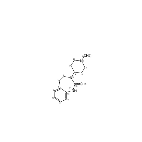 O=[C]N1CCC(N2CCc3ccccc3NC2=O)CC1